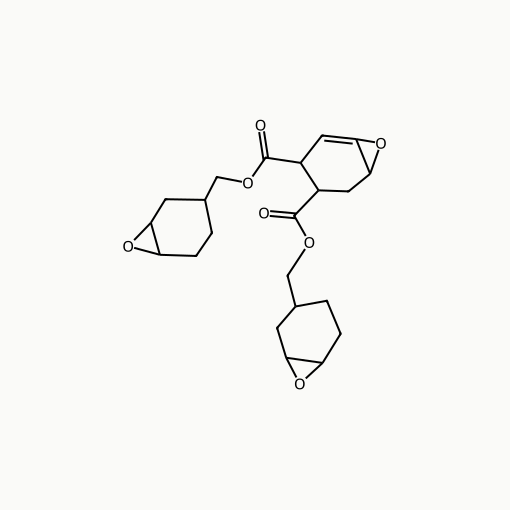 O=C(OCC1CCC2OC2C1)C1C=C2OC2CC1C(=O)OCC1CCC2OC2C1